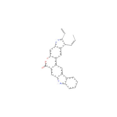 C=Cc1[nH]c2cc3oc(=O)c4cc5[nH]c6ccccc6c5cc4c3cc2c1/C=C\C